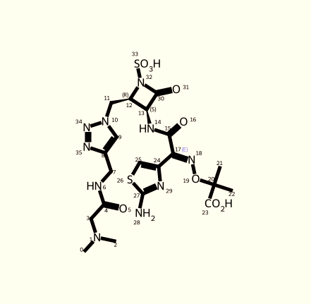 CN(C)CC(=O)NCc1cn(C[C@@H]2[C@H](NC(=O)/C(=N/OC(C)(C)C(=O)O)c3csc(N)n3)C(=O)N2S(=O)(=O)O)nn1